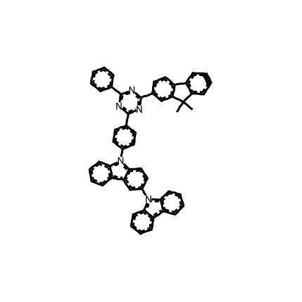 CC1(C)c2cc#ccc2-c2ccc(-c3nc(-c4ccccc4)nc(-c4ccc(-n5c6ccccc6c6cc(-n7c8ccccc8c8ccccc87)ccc65)cc4)n3)cc21